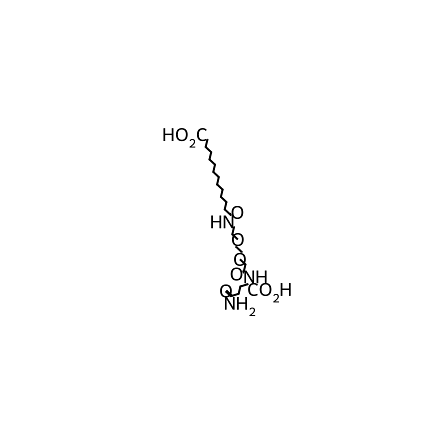 NC(=O)CC[C@H](NC(=O)COCCOCCNC(=O)CCCCCCCCCCCCC(=O)O)C(=O)O